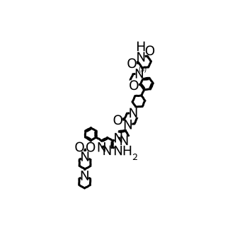 Nc1nnc(-c2ccccc2OC(=O)N2CCC(N3CCCCC3)CC2)cc1-n1cc(N2CCN(C3CCC(c4cccc5c4OCCN5[C@H]4CCC(=O)NC4=O)CC3)CC2=O)cn1